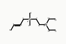 CC=CC[Si](C)(C)CCN(CC)CC